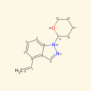 C=Cc1cccc2c1cnn2C1CCCCO1